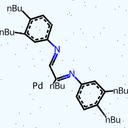 CCCCC(C=Nc1ccc(CCCC)c(CCCC)c1)=Nc1ccc(CCCC)c(CCCC)c1.[Pd]